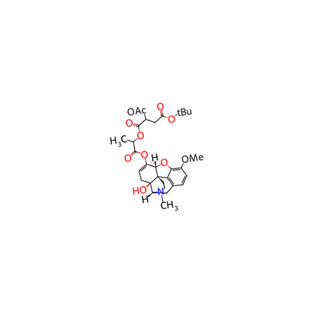 COc1ccc2c3c1O[C@H]1C(OC(=O)C(C)OC(=O)C(CC(=O)OC(C)(C)C)OC(C)=O)=CC[C@@]4(O)[C@@H](C2)N(C)CC[C@]314